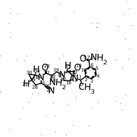 CC(c1cccc(C(N)=O)c1)N1C(=O)[C@@H]2CC1CN2CC(N)C(=O)N1C(C#N)C[C@@H]2C[C@@H]21